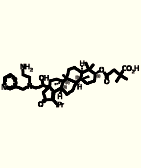 CC(C)C1=C2[C@H]3CC[C@@H]4[C@@]5(C)CC[C@H](OC(=O)CC(C)(C)C(=O)O)C(C)(C)[C@@H]5CC[C@@]4(C)[C@]3(C)CCC2(C(O)CN(CCN)Cc2cccnc2)CC1=O